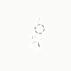 CC=C(Oc1ccc(Cl)cc1)[SiH](C)C